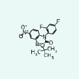 CC(C)(C)OC(=O)N(c1ccc(F)cc1F)c1ccc([N+](=O)[O-])cc1Br